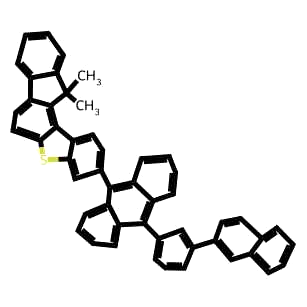 CC1(C)c2ccccc2-c2ccc3sc4cc(-c5c6ccccc6c(-c6cccc(-c7ccc8ccccc8c7)c6)c6ccccc56)ccc4c3c21